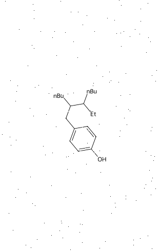 CCCCC(CC)C(CCCC)Cc1ccc(O)cc1